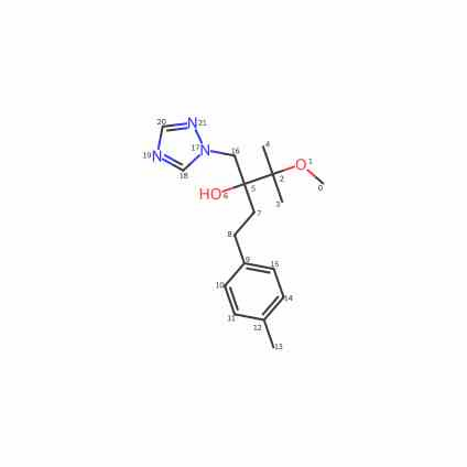 COC(C)(C)C(O)(CCc1ccc(C)cc1)Cn1cncn1